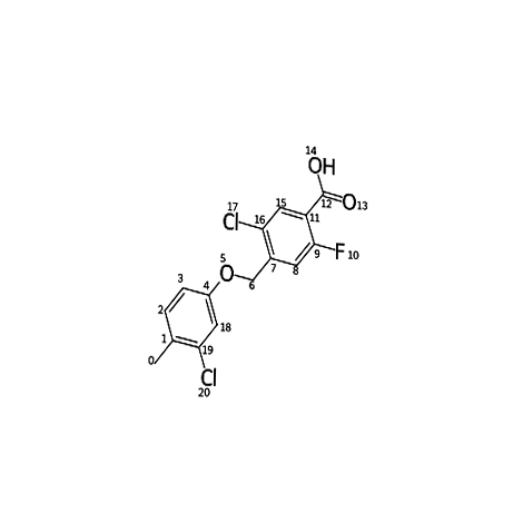 Cc1ccc(OCc2cc(F)c(C(=O)O)cc2Cl)cc1Cl